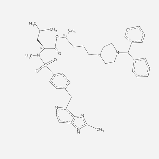 Cc1nc2c(Cc3ccc(S(=O)(=O)N(C)[C@@H](CC(C)C)C(=O)O[C@H](C)CCCN4CCN(C(c5ccccc5)c5ccccc5)CC4)cc3)nccc2[nH]1